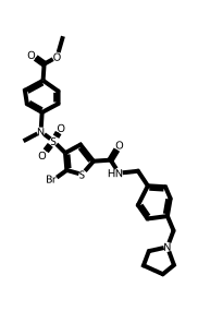 COC(=O)c1ccc(N(C)S(=O)(=O)c2cc(C(=O)NCc3ccc(CN4CCCC4)cc3)sc2Br)cc1